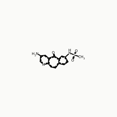 CS(=O)(=O)Nc1ccc2ccc3ncc(N)cc3c(=O)c2c1